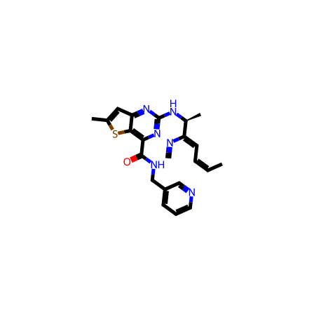 C=N/C(=C\C=C/C)[C@H](C)Nc1nc(C(=O)NCc2cccnc2)c2sc(C)cc2n1